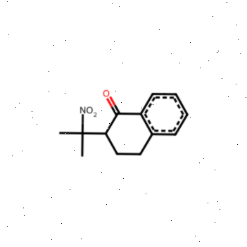 CC(C)(C1CCc2ccccc2C1=O)[N+](=O)[O-]